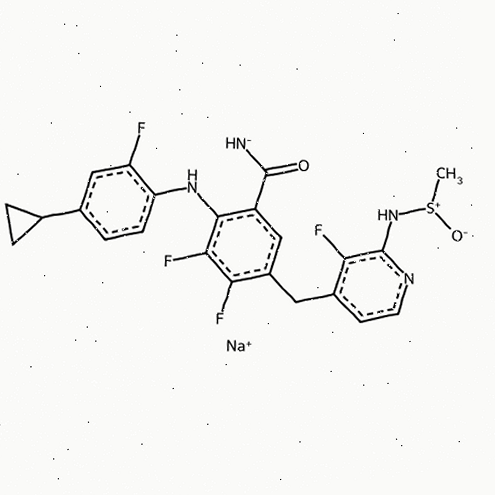 C[S+]([O-])Nc1nccc(Cc2cc(C([NH-])=O)c(Nc3ccc(C4CC4)cc3F)c(F)c2F)c1F.[Na+]